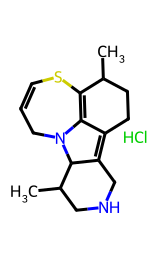 CC1CCC2=C3CNCC(C)C3N3CC=CSC1=C23.Cl